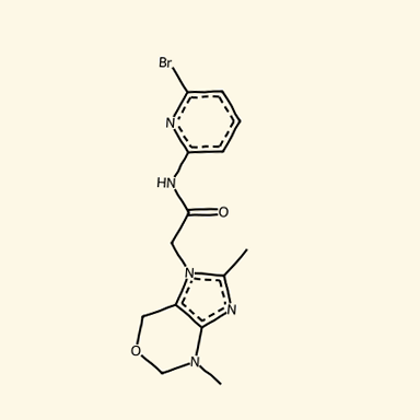 Cc1nc2c(n1CC(=O)Nc1cccc(Br)n1)COCN2C